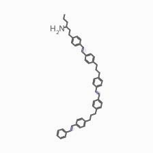 CCCC(N)CCc1ccc(/C=C/c2ccc(CCCc3ccc(/C=C/c4ccc(CCCc5ccc(/C=C/c6ccccc6)cc5)cc4)cc3)cc2)cc1